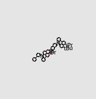 CC(C)c1ccc(-c2ccccc2N(c2ccc(C(C)(C)C)cc2)c2ccc3cc4c(cc3c2)oc2cc3cc(N(c5cccc(-c6ccccc6)c5)c5ccccc5-c5ccc(C(C)C)cc5)ccc3cc24)cc1